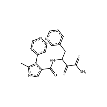 Cc1ncc(C(=O)NC(Cc2cccnc2)C(=O)C(N)=O)n1-c1ccncn1